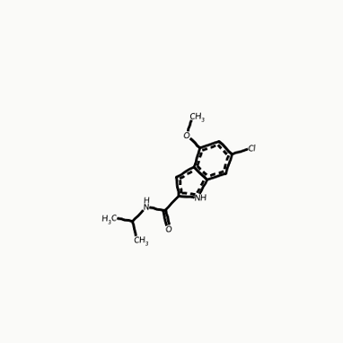 COc1cc(Cl)cc2[nH]c(C(=O)NC(C)C)cc12